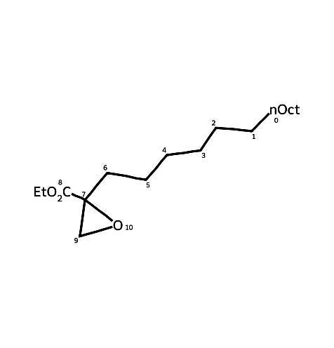 CCCCCCCCCCCCCCC1(C(=O)OCC)CO1